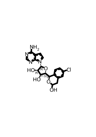 Nc1ncnc2c1ccn2[C@@H]1O[C@H]([C@@H]2OC(O)Cc3cc(Cl)ccc32)[C@@H](O)[C@H]1O